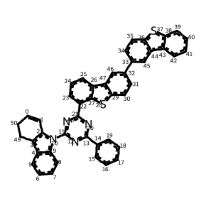 C1=Cc2c(c3ccccc3n2-c2nc(-c3ccccc3)nc(-c3cccc4c3sc3ccc(-c5ccc6sc7ccccc7c6c5)cc34)n2)CC1